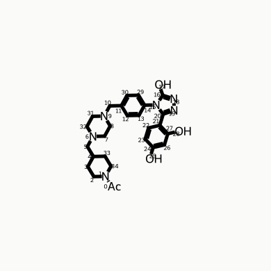 CC(=O)N1CCC(CN2CCN(Cc3ccc(-n4c(O)nnc4-c4ccc(O)cc4O)cc3)CC2)CC1